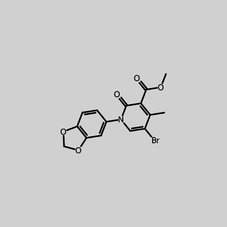 COC(=O)c1c(C)c(Br)cn(-c2ccc3c(c2)OCO3)c1=O